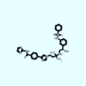 CC(C)(CCn1cnc(-c2ccc(C(=O)Nc3nccs3)cc2)c1)NC[C@H](O)c1cccc(NS(=O)(=O)c2ccccc2)c1